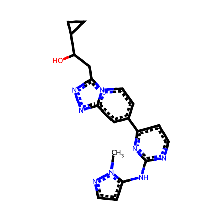 Cn1nccc1Nc1nccc(-c2ccn3c(CC(O)C4CC4)nnc3c2)n1